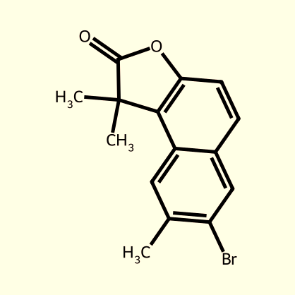 Cc1cc2c3c(ccc2cc1Br)OC(=O)C3(C)C